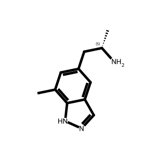 Cc1cc(C[C@H](C)N)cc2cn[nH]c12